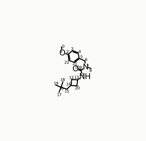 COc1ccc(CN(C)C(=O)NC2CC(CC(C)(C)C)C2)cc1